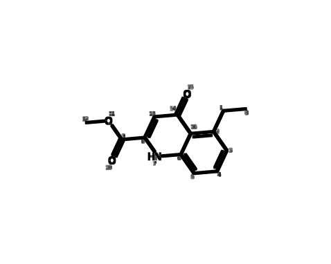 CCc1cccc2[nH]c(C(=O)OC)cc(=O)c12